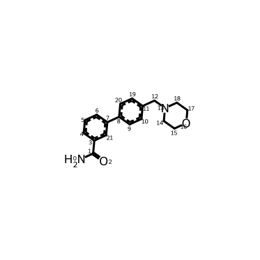 NC(=O)c1cccc(-c2ccc(CN3CCOCC3)cc2)c1